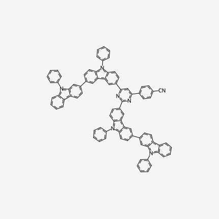 N#Cc1ccc(-c2cc(-c3ccc4c(c3)c3cc(-c5ccc6c7ccccc7n(-c7ccccc7)c6c5)ccc3n4-c3ccccc3)nc(-c3ccc4c(c3)c3cc(-c5ccc6c7ccccc7n(-c7ccccc7)c6c5)ccc3n4-c3ccccc3)n2)cc1